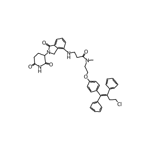 CN(CCOc1ccc(C(=C(CCCl)c2ccccc2)c2ccccc2)cc1)C(=O)CCNc1cccc2c1CN(C1CCC(=O)NC1=O)C2=O